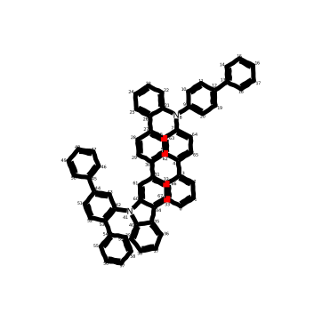 c1ccc(-c2ccc(N(c3ccc(-c4ccccc4)cc3)c3ccccc3-c3ccc(-c4ccc5c6ccccc6n(-c6cc(-c7ccccc7)ccc6-c6ccccc6)c5c4)cc3)cc2)cc1